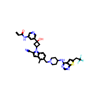 C=CC(=O)Nc1cncc(C2(O)CC(n3c(C#N)cc4c(C)c(CN5CCC(Nc6ncnc7sc(CC(F)(F)F)cc67)CC5)ccc43)C2)c1